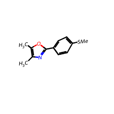 CSc1ccc(-c2nc(C)c(C)o2)cc1